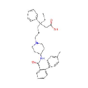 CCC(CCCN1CCC(NC(=O)c2ccccc2-c2ccc(C)cc2)CC1)(CC(=O)O)c1ccccc1